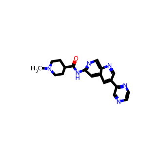 CN1CCC(C(=O)Nc2cc3cc(-c4cnccn4)cnc3cn2)CC1